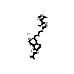 Cc1ncoc1-c1nnc(SCCCC2CC3CC=C4N=C(C(C)C)OC4C3=CCN2)n1C.Cl